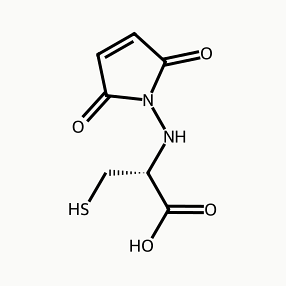 O=C(O)[C@H](CS)NN1C(=O)C=CC1=O